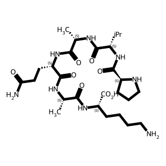 CC(C)[C@H](NC(=O)[C@@H]1CCCN1)C(=O)N[C@@H](C)C(=O)N[C@@H](CCC(N)=O)C(=O)N[C@@H](C)C(=O)N[C@@H](CCCCN)C(=O)O